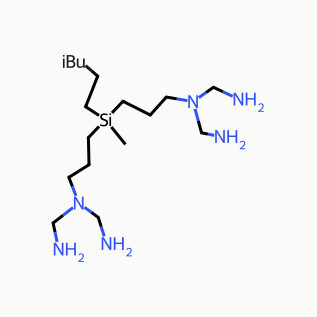 CCC(C)CC[Si](C)(CCCN(CN)CN)CCCN(CN)CN